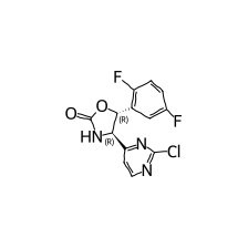 O=C1N[C@H](c2ccnc(Cl)n2)[C@@H](c2cc(F)ccc2F)O1